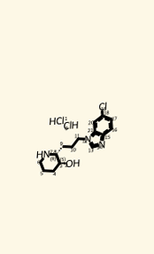 Cl.Cl.O[C@H]1CCCN[C@@H]1CCCn1cnc2ccc(Cl)cc21